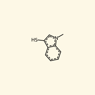 Cn1cc(S)c2ccccc21